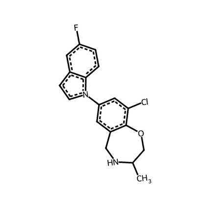 CC1COc2c(Cl)cc(-n3ccc4cc(F)ccc43)cc2CN1